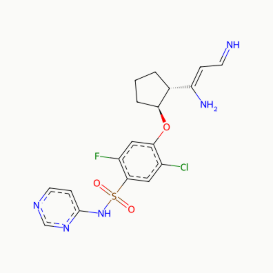 N=C/C=C(\N)[C@H]1CCC[C@@H]1Oc1cc(F)c(S(=O)(=O)Nc2ccncn2)cc1Cl